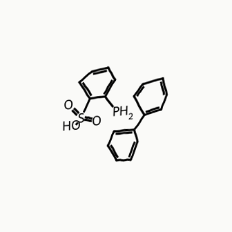 O=S(=O)(O)c1ccccc1P.c1ccc(-c2ccccc2)cc1